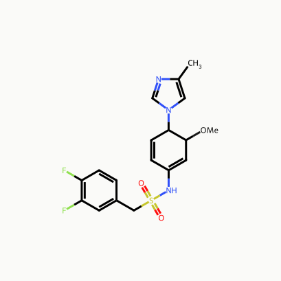 COC1C=C(NS(=O)(=O)Cc2ccc(F)c(F)c2)C=CC1n1cnc(C)c1